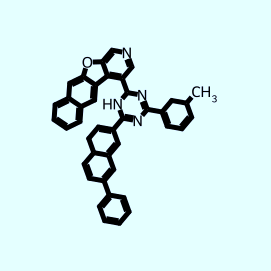 CC1C=CC=C(C2=NC(c3cncc4oc5cc6ccccc6cc5c34)NC(C3=CCC4C=CC(c5ccccc5)=CC4=C3)=N2)C1